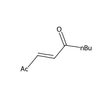 CCCCC(=O)/C=C/C(C)=O